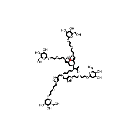 CC(=O)[C@@H](CCCCN(Cc1cn(CCOCCO[C@H]2C[C@@H](O)[C@@H](O)[C@@H](CO)O2)nn1)Cc1cn(CCOCCO[C@H]2C[C@@H](O)[C@@H](O)[C@@H](CO)O2)nn1)N(Cc1cn(CCOCCO[C@H]2C[C@@H](O)[C@@H](O)[C@@H](CO)O2)nn1)Cc1cn(CCOCCO[C@H]2C[C@@H](O)[C@@H](O)[C@@H](CO)O2)nn1